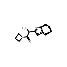 C[C](C(=O)N1CCC1)c1cc2ccccc2[nH]1